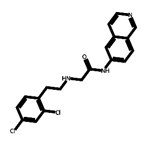 O=C(CNCCc1ccc(Cl)cc1Cl)Nc1ccc2cnccc2c1